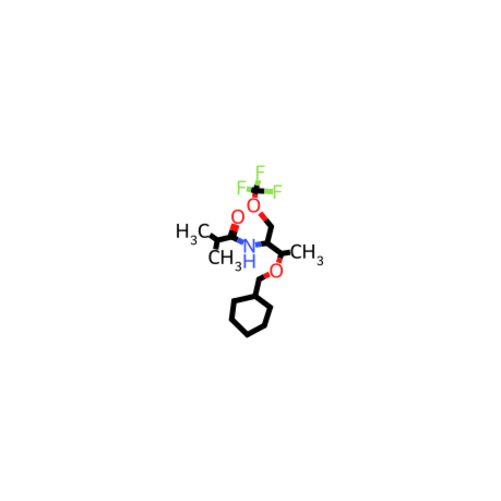 CC(C)C(=O)NC(COC(F)(F)F)C(C)OCC1CCCCC1